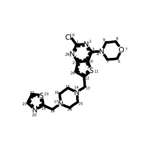 Clc1nc(N2CCOCC2)c2sc(CN3CCN(Cc4nccs4)CC3)cc2n1